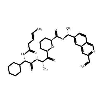 C=Cc1cc2cc([C@@H](C)OC(=O)[C@@H]3CCCN(C(=O)[C@H](C)NC(=O)[C@@H](NC(=O)C/C=C/C)C4CCCCC4)N3)ccc2cn1